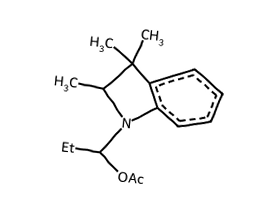 CCC(OC(C)=O)N1c2ccccc2C(C)(C)C1C